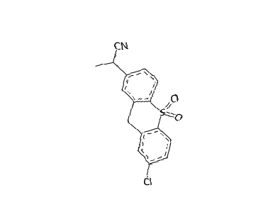 CC(C#N)c1ccc2c(c1)Cc1cc(Cl)ccc1S2(=O)=O